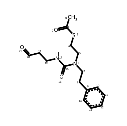 CC(=O)SCCN(CCc1ccccc1)C(=O)NCCC=O